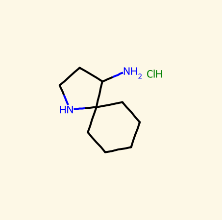 Cl.NC1CCNC12CCCCC2